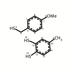 COc1ccc(CS)cc1.Cc1ccc(S)c(S)c1